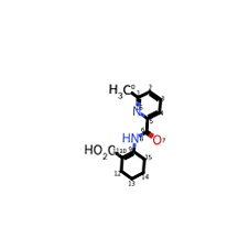 Cc1cccc(C(=O)NC2=C(C(=O)O)CCCC2)n1